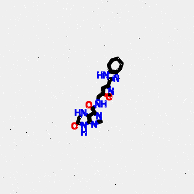 O=C1CNc2c(ncnc2C(=O)NCc2cc(-c3nc4c([nH]3)CCCCC4)no2)N1